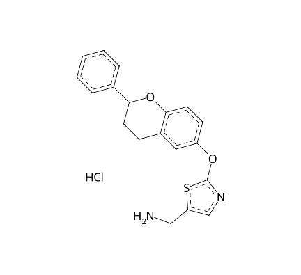 Cl.NCc1cnc(Oc2ccc3c(c2)CCC(c2ccccc2)O3)s1